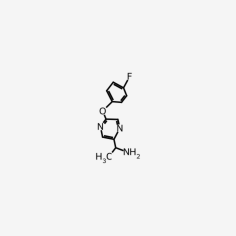 CC(N)c1cnc(Oc2ccc(F)cc2)cn1